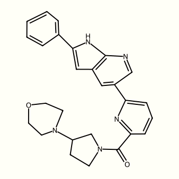 O=C(c1cccc(-c2cnc3[nH]c(-c4ccccc4)cc3c2)n1)N1CCC(N2CCOCC2)C1